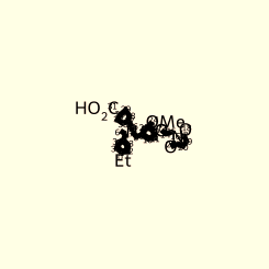 CCc1ccc(C(C)N(Cc2ccc(OCCN3C(=O)CCC3=O)c(OC)c2)CC2CCC(C(=O)O)CC2)cc1